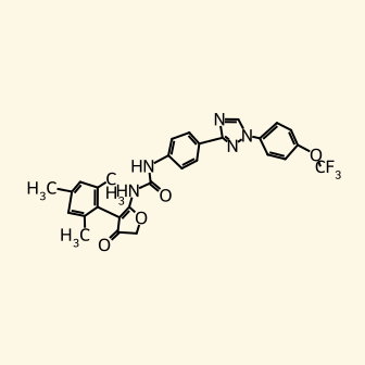 Cc1cc(C)c(C2=C(NC(=O)Nc3ccc(-c4ncn(-c5ccc(OC(F)(F)F)cc5)n4)cc3)OCC2=O)c(C)c1